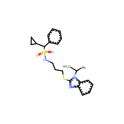 CC(C)(C)C(C(=O)O)n1c(SCCCNS(=O)(=O)C(c2ccccc2)C2CC2)nc2ccccc21